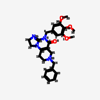 COc1cc(CN2C(=O)C3=C(CCN(Cc4ccccc4)C3)N3CCN=C23)cc(OC)c1OC